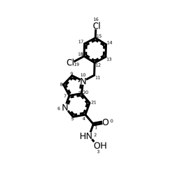 O=C(NO)c1cnc2ccn(Cc3ccc(Cl)cc3Cl)c2c1